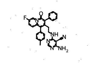 Cc1ccc(-c2c(CCNc3ncnc(N)c3C#N)c(-c3ccccc3)c(=O)n3cc(F)ccc23)cc1